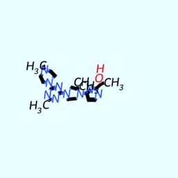 Cc1nc(N2CCN(C)CC2)nc(N2CCN(c3ccnc(C(C)O)n3)C(C)(C)C2)n1